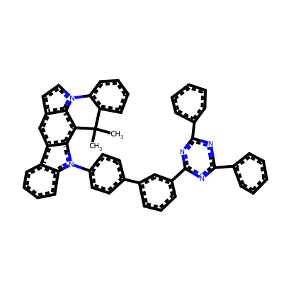 CC1(C)c2ccccc2-n2ccc3cc4c5ccccc5n(-c5ccc(-c6cccc(-c7nc(-c8ccccc8)nc(-c8ccccc8)n7)c6)cc5)c4c1c32